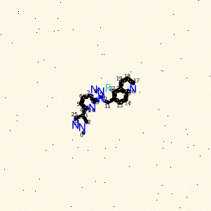 CN1CC(c2ccc3nnn(Cc4ccc5ncccc5c4F)c3n2)C=N1